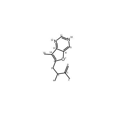 C=C(C)C(C)Cc1oc2cncnc2c1C